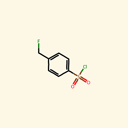 O=S(=O)(Cl)c1ccc(CF)cc1